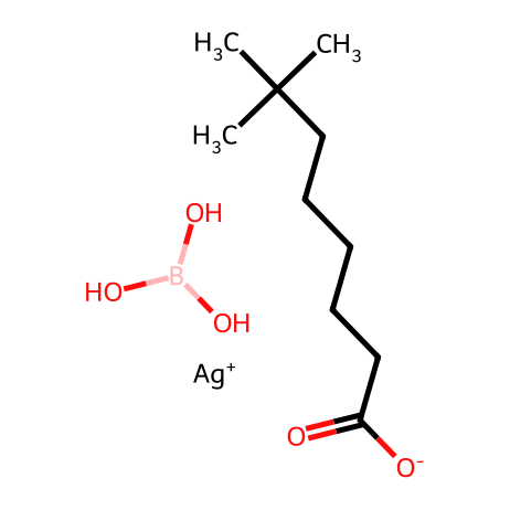 CC(C)(C)CCCCCC(=O)[O-].OB(O)O.[Ag+]